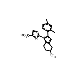 Cc1ccc(-c2cc3c(n2-c2nc(C(=O)O)cs2)CCC(C(F)(F)F)C3)c(C)c1